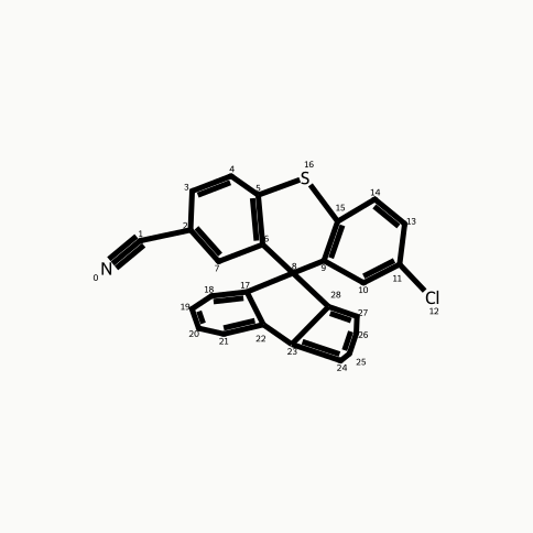 N#Cc1ccc2c(c1)C1(c3cc(Cl)ccc3S2)c2ccccc2-c2ccccc21